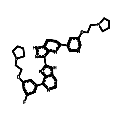 Fc1cc(OCCN2CCCC2)cc(-c2nccc3[nH]c(-c4n[nH]c5ccc(-c6cncc(OCCN7CCCC7)c6)nc45)nc23)c1